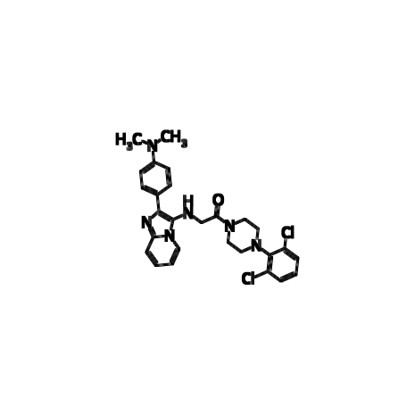 CN(C)c1ccc(-c2nc3ccccn3c2NCC(=O)N2CCN(c3c(Cl)cccc3Cl)CC2)cc1